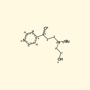 CC(C)(C)N(CCO)CCC(=O)c1ccncc1